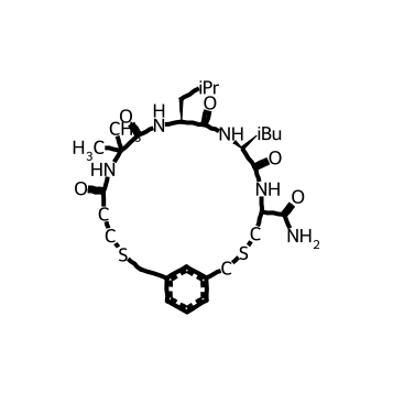 CC[C@H](C)[C@@H]1NC(=O)[C@H](CC(C)C)NC(=O)C(C)(C)NC(=O)CCSCc2cccc(c2)CSCC(C(N)=O)NC1=O